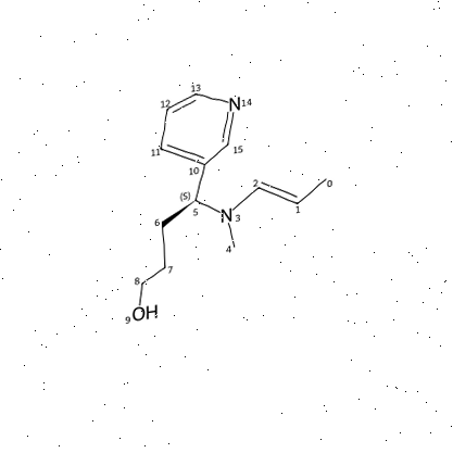 CC=CN(C)[C@@H](CCCO)c1cccnc1